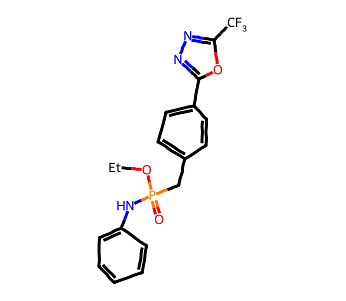 CCOP(=O)(Cc1ccc(-c2nnc(C(F)(F)F)o2)cc1)Nc1ccccc1